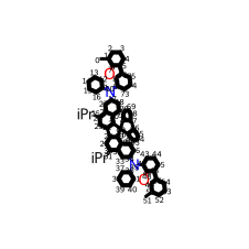 Cc1cccc2c1oc1c(N(c3ccccc3)c3ccc4c5c(cc(C(C)C)c4c3)-c3cc(C(C)C)c4cc(N(c6ccccc6)c6cccc7c6oc6c(C)cccc67)ccc4c3C53c4ccccc4-c4ccccc43)cccc12